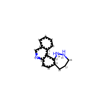 c1ccc2c(c1)cnc1ccc3c(c12)NNCCC3